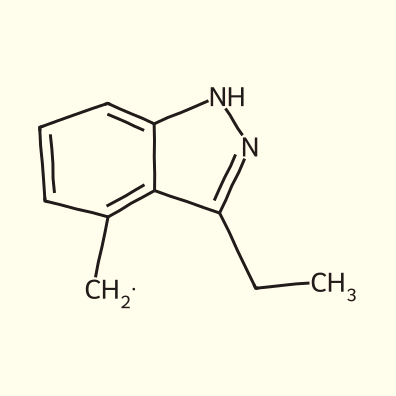 [CH2]c1cccc2[nH]nc(CC)c12